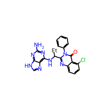 CCC(Nc1nc(N)nc2[nH]cnc12)c1nc2cccc(Cl)c2c(=O)n1-c1ccccc1